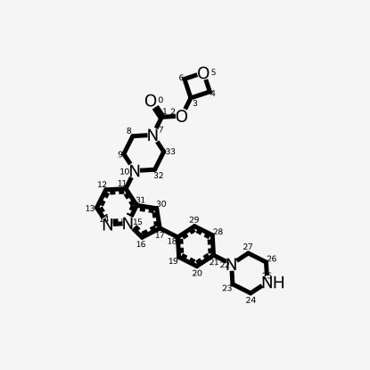 O=C(OC1COC1)N1CCN(c2ccnn3cc(-c4ccc(N5CCNCC5)cc4)cc23)CC1